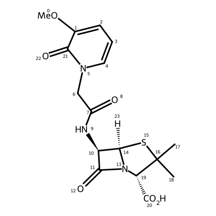 COc1cccn(CC(=O)N[C@@H]2C(=O)N3[C@@H]2SC(C)(C)[C@@H]3C(=O)O)c1=O